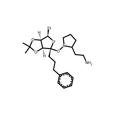 CC[C@H]1O[C@](CCCc2ccccc2)(ON2CCCC2CCN)[C@H]2OC(C)(C)O[C@@H]12